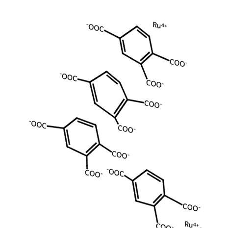 O=C([O-])c1ccc(C(=O)[O-])c(C(=O)[O-])c1.O=C([O-])c1ccc(C(=O)[O-])c(C(=O)[O-])c1.O=C([O-])c1ccc(C(=O)[O-])c(C(=O)[O-])c1.O=C([O-])c1ccc(C(=O)[O-])c(C(=O)[O-])c1.[Ru+4].[Ru+4].[Ru+4]